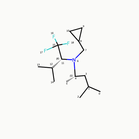 CC(C)C[C@H](C)N(CC1CC1)[C@H](C(C)C)C(F)(F)F